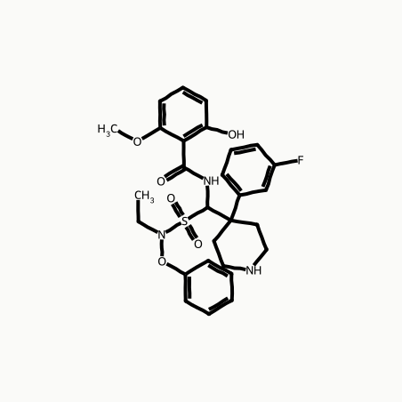 CCN(Oc1ccccc1)S(=O)(=O)C(NC(=O)c1c(O)cccc1OC)C1(c2cccc(F)c2)CCNCC1